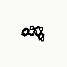 O=C1COC2COCC2N1Cc1ccccc1